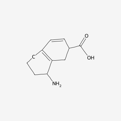 NC1CCCC2=C1CC(C(=O)O)C=C2